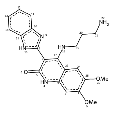 COc1cc2[nH]c(=O)c(-c3nc4ccccc4[nH]3)c(NCCCN)c2cc1OC